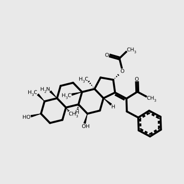 CC(=O)O[C@H]1C[C@@]2(C)[C@@H](C[C@@H](O)[C@@H]3[C@]2(C)CC[C@@]2(N)[C@H](C)[C@H](O)CC[C@]32C)/C1=C(\Cc1ccccc1)C(C)=O